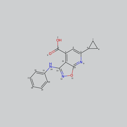 O=C(O)c1cc(C2CC2)nc2onc(Nc3ccccc3)c12